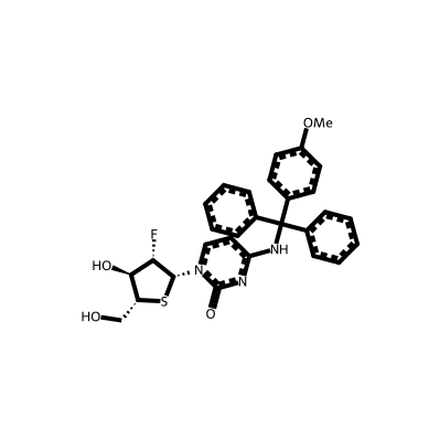 COc1ccc(C(Nc2ccn([C@@H]3S[C@H](CO)[C@@H](O)[C@@H]3F)c(=O)n2)(c2ccccc2)c2ccccc2)cc1